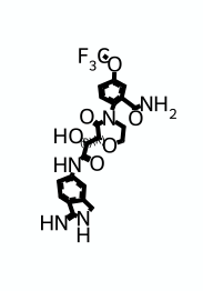 N=C1NCc2cc(NC(=O)[C@H](O)[C@H]3OCCN(c4ccc(OC(F)(F)F)cc4C(N)=O)C3=O)ccc21